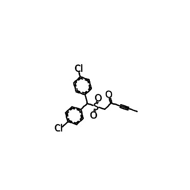 CC#CC(=O)CS(=O)(=O)C(c1ccc(Cl)cc1)c1ccc(Cl)cc1